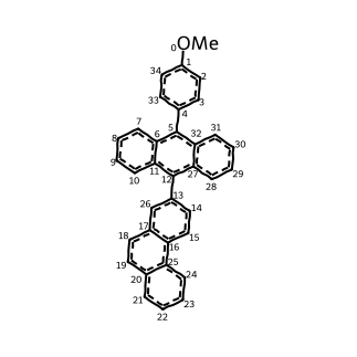 COc1ccc(-c2c3ccccc3c(-c3ccc4c(ccc5ccccc54)c3)c3ccccc23)cc1